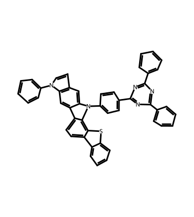 c1ccc(-c2nc(-c3ccccc3)nc(-c3ccc(-n4c5cc6ccn(-c7ccccc7)c6cc5c5ccc6c7ccccc7sc6c54)cc3)n2)cc1